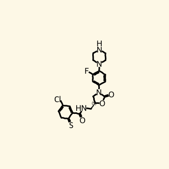 O=C(NC[C@H]1CN(c2ccc(N3CCNCC3)c(F)c2)C(=O)O1)C1=CC(Cl)=CCC1=S